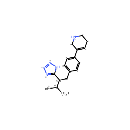 CCC[C@H](C(=O)O)[C@H](Cc1ccc(C2=CCCNC2)cc1)c1nnn[nH]1